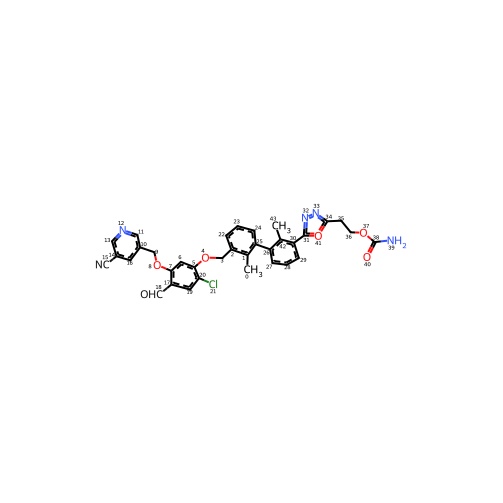 Cc1c(COc2cc(OCc3cncc(C#N)c3)c(C=O)cc2Cl)cccc1-c1cccc(-c2nnc(CCOC(N)=O)o2)c1C